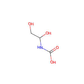 O=C(O)NC(O)CO